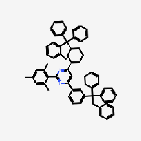 Cc1cc(C)c(-c2nc(-c3cccc(C(Cc4ccccc4)(C4=CC=CCC4)c4ccccc4)c3)cc([C@@H]3CCC[C@H](C(c4ccccc4)(c4ccccc4)c4ccccc4C)C3)n2)c(C)c1